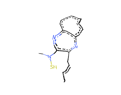 C/C=C/c1nc2ccccc2nc1N(C)S